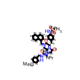 CCCN(C(=O)NCc1ccc(OC)cc1)N1CC(=O)N2[C@@H](Cc3ccc(NS(C)(=O)=O)cc3)C(=O)N(Cc3cccc4ccccc34)C[C@@H]21